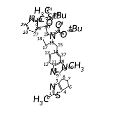 Cc1nc2c(s1)CC[C@H]2c1nc2ccc(CC3CC[C@H]([C@H](O[Si](C)(C)C(C)(C)C)c4ccccc4)N3C(=O)OC(C)(C)C)cc2n1C